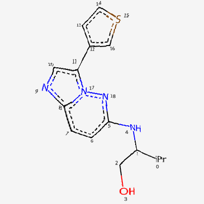 CC(C)C(CO)Nc1ccc2ncc(-c3ccsc3)n2n1